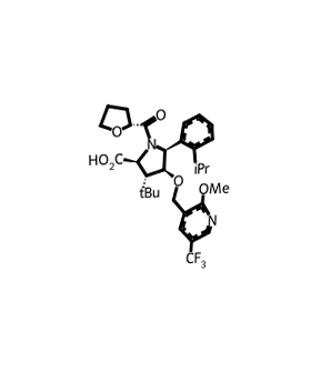 COc1ncc(C(F)(F)F)cc1CO[C@H]1[C@H](C(C)(C)C)[C@@H](C(=O)O)N(C(=O)[C@H]2CCCO2)[C@H]1c1ccccc1C(C)C